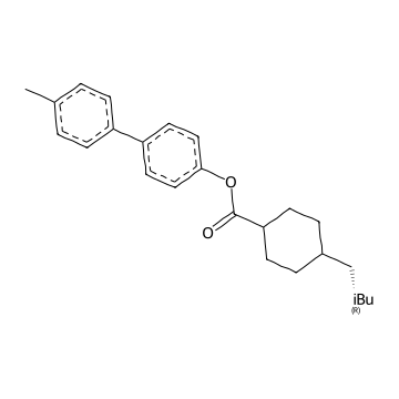 CC[C@@H](C)CC1CCC(C(=O)Oc2ccc(-c3ccc(C)cc3)cc2)CC1